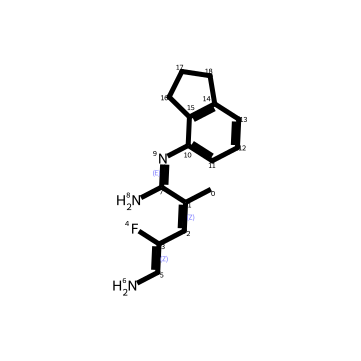 CC(=C/C(F)=C/N)/C(N)=N\c1cccc2c1CCC2